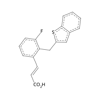 O=C(O)C=Cc1cccc(F)c1Cc1cc2ccccc2s1